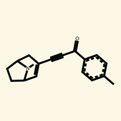 Cc1ccc(C(=O)C#CC2=CC3CCC(C2)N3C)cc1